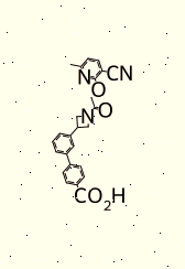 Cc1ccc(C#N)c(OCC(=O)N2CC(c3cccc(-c4ccc(C(=O)O)cc4)c3)C2)n1